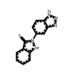 S=c1c2ccccc2[se]n1-c1ccc2[nH]nnc2c1